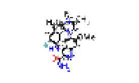 COc1cc2nnc(C(N)=O)c(Nc3ccc(C)cc3F)c2cc1N1C[C@@H](C)N(C(C)=O)[C@@H](C)C1